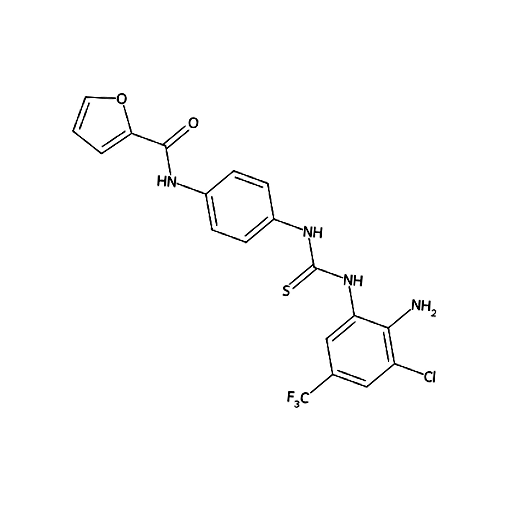 Nc1c(Cl)cc(C(F)(F)F)cc1NC(=S)Nc1ccc(NC(=O)c2ccco2)cc1